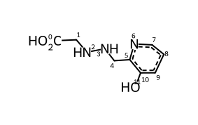 O=C(O)CNNCc1ncccc1O